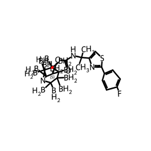 BC1(B)N2C(B)(B)C(B)(B)C(B)(C1(B)B)[C@](B)(OC(=O)NC(C)(C)c1csc(-c3ccc(F)cc3)n1)C2(B)B